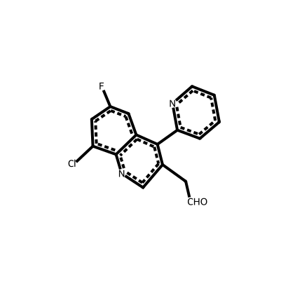 O=CCc1cnc2c(Cl)cc(F)cc2c1-c1ccccn1